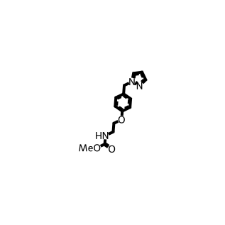 COC(=O)NCCOc1ccc(Cn2cccn2)cc1